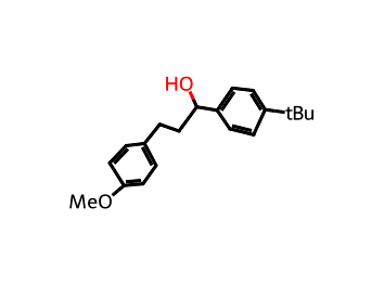 COc1ccc(CCC(O)c2ccc(C(C)(C)C)cc2)cc1